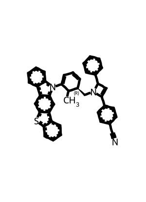 CC1C(n2c3ccccc3c3cc4sc5ccccc5c4cc32)=CC=C[C@H]1CN1C(c2ccc(C#N)cc2)=CC1c1ccccc1